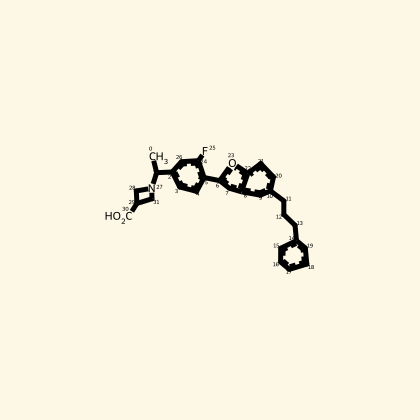 CC(c1ccc(-c2cc3cc(CCCc4ccccc4)ccc3o2)c(F)c1)N1CC(C(=O)O)C1